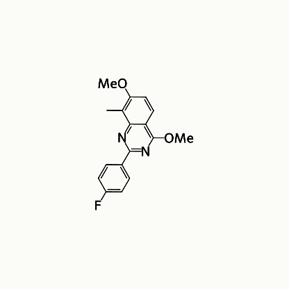 COc1ccc2c(OC)nc(-c3ccc(F)cc3)nc2c1C